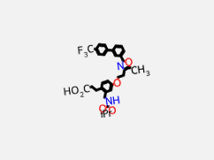 Cc1oc(-c2cccc(-c3ccc(C(F)(F)F)cc3)c2)nc1CCOc1ccc(CCC(=O)O)c(CNC(=O)OC(C)C)c1